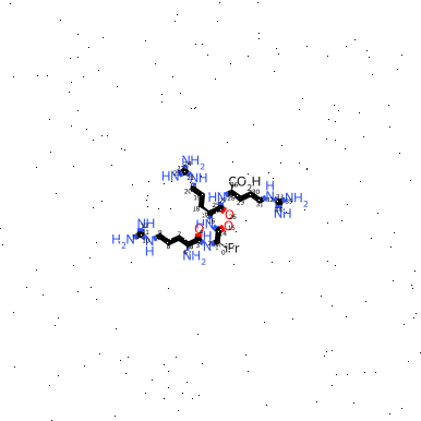 CC(C)[C@H](NC(=O)[C@@H](N)CCCNC(=N)N)C(=O)N[C@@H](CCCNC(=N)N)C(=O)N[C@@H](CCCNC(=N)N)C(=O)O